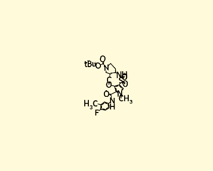 Cc1cc(NC(=O)c2c3c(cn2C)S(=O)(=O)NC2CCN(C(=O)OC(C)(C)C)CC2CO3)ccc1F